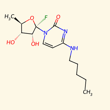 CCCCCNc1ccn([C@]2(F)O[C@H](C)[C@@H](O)[C@H]2O)c(=O)n1